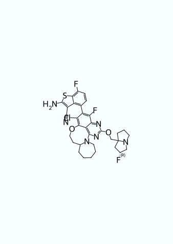 N#Cc1c(N)sc2c(F)ccc(-c3c(Cl)c4c5c(nc(OCC67CCCN6C[C@H](F)C7)nc5c3F)N3CCCCCC3CCO4)c12